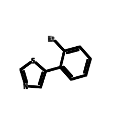 CCc1ccccc1-c1cncs1